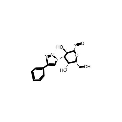 O=[C][C@@H]1O[C@H](CO)[C@H](O)[C@H](n2cc(-c3ccccc3)nn2)[C@H]1O